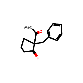 COC(=O)C1(Cc2ccccc2)CCCC1=O